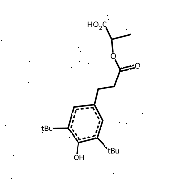 CC(OC(=O)CCc1cc(C(C)(C)C)c(O)c(C(C)(C)C)c1)C(=O)O